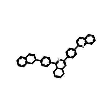 C1=CCC2C(c3ccc(C4C=Cc5ccccc5C4)cc3)=NC(c3ccc(-c4ccc5ccccc5n4)cc3)=CC2C1